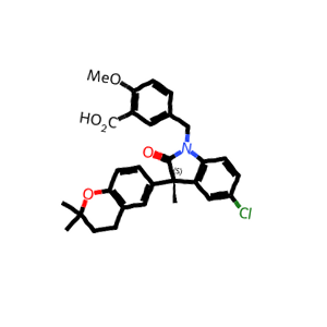 COc1ccc(CN2C(=O)[C@@](C)(c3ccc4c(c3)CCC(C)(C)O4)c3cc(Cl)ccc32)cc1C(=O)O